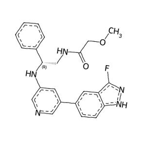 COCC(=O)NC[C@H](Nc1cncc(-c2ccc3[nH]nc(F)c3c2)c1)c1ccccc1